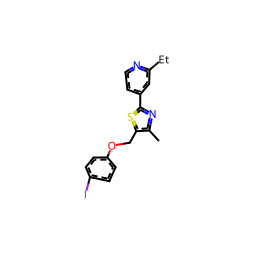 CCc1cc(-c2nc(C)c(COc3ccc(I)cc3)s2)ccn1